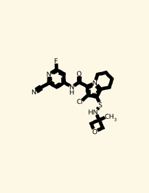 CC1(NSc2c(Cl)c(C(=O)Nc3cc(F)nc(C#N)c3)n3c2CCCC3)COC1